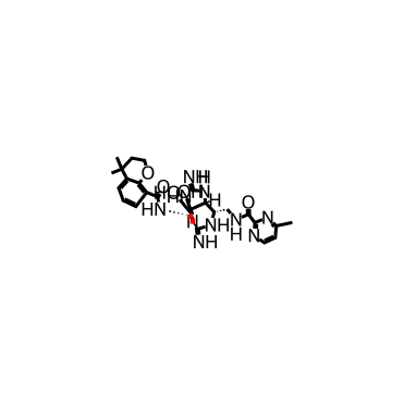 Cc1ccnc(C(=O)NC[C@@H]2NC(=N)N3C[C@H](NC(=O)c4cccc5c4OCCC5(C)C)C(O)(O)[C@@]34NC(=N)N[C@@H]24)n1